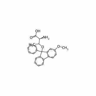 COc1ccc2c(c1)C(OC(C)[C@H](N)C(=O)O)(c1ccccc1)c1ccccc1-2